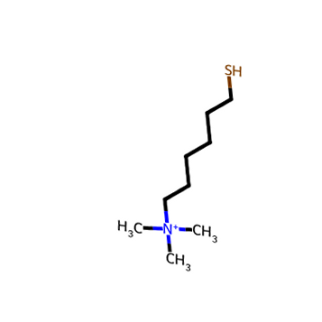 C[N+](C)(C)CCCCCCS